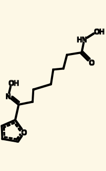 O=C(CCCCCCC(=NO)c1ccco1)NO